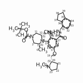 C[C@H]1CN(C(=O)OC(C)(C)C)C[C@H](C)N1c1nc(OC[C@@H]2CCCN2C)nc(C(=O)Nc2cccc3c2CCC3)c1N